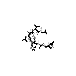 Cc1nc(COC(=O)N[C@@H](CS(C)(=O)=O)C(=O)N[C@H](CC(C)C)[C@@H](O)C[C@@H](C)C(=O)N[C@@H](C(=O)NCC(C)C)C(C)C)cs1